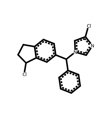 Clc1cn(C(c2ccccc2)c2ccc3c(c2)C(Cl)CC3)cn1